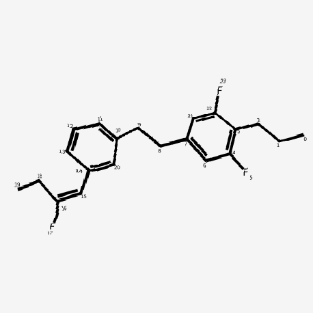 CCCc1c(F)cc(CCc2cccc(/C=C(/F)CC)c2)cc1F